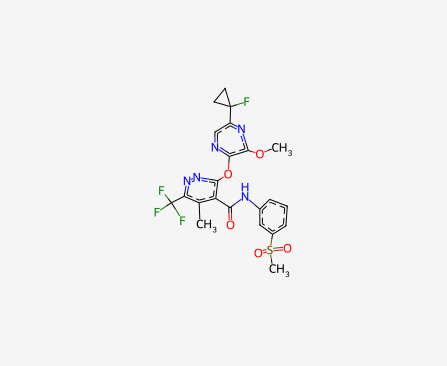 COc1nc(C2(F)CC2)cnc1Oc1nnc(C(F)(F)F)c(C)c1C(=O)Nc1cccc(S(C)(=O)=O)c1